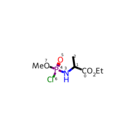 CCOC(=O)C(C)NP(=O)(Cl)OC